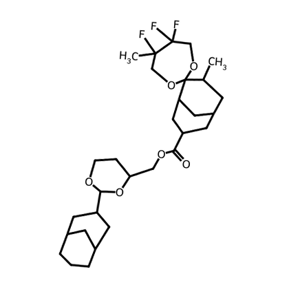 CC1CC2CC(C(=O)OCC3CCOC(C4CC5CCCC(C5)C4)O3)CC(C2)C12OCC(C)(F)C(F)(F)CO2